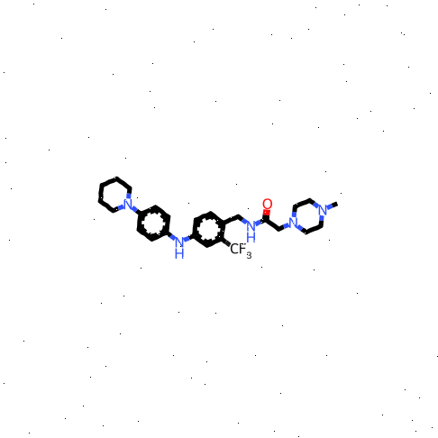 CN1CCN(CC(=O)NCc2ccc(Nc3ccc(N4CCCCC4)cc3)cc2C(F)(F)F)CC1